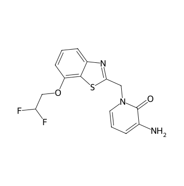 Nc1cccn(Cc2nc3cccc(OCC(F)F)c3s2)c1=O